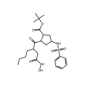 CCCCC(CC(=O)NO)C(=O)N1CC(NS(=O)(=O)c2ccccc2)CC1C(=O)OC(C)(C)C